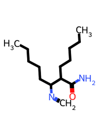 C=NC(CCCCC)C(CCCCC)C(N)=O